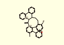 C=C1C2C(CCc3c(F)cc(F)cc3-c3c(-c4ccccc4)c(C)cc[n+]31)c1ccccc1-c1cccc[n+]12